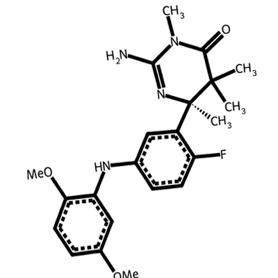 COc1ccc(OC)c(Nc2ccc(F)c([C@@]3(C)N=C(N)N(C)C(=O)C3(C)C)c2)c1